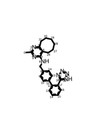 Cc1nc2c(c(NCc3ccc(-c4ccccc4-c4nnn[nH]4)cc3)n1)CCCCCC2